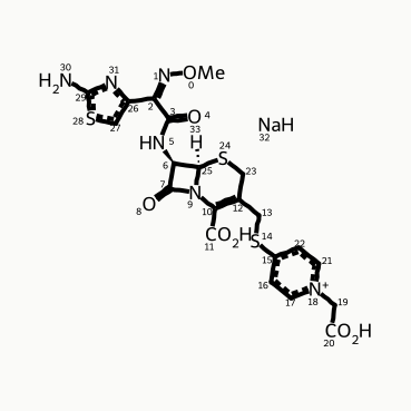 CO/N=C(\C(=O)N[C@@H]1C(=O)N2C(C(=O)O)=C(CSc3cc[n+](CC(=O)O)cc3)CS[C@H]12)c1csc(N)n1.[NaH]